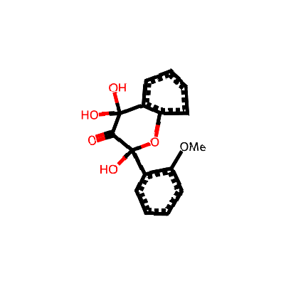 COc1ccccc1C1(O)Oc2ccccc2C(O)(O)C1=O